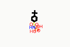 CC(C)(C)c1ccc(S(=O)(=O)NP(=O)(O)O)cc1